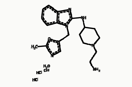 Cc1ncc(Cn2c(NC3CCN(CCN)CC3)nc3ccccc32)o1.Cl.Cl.Cl.O